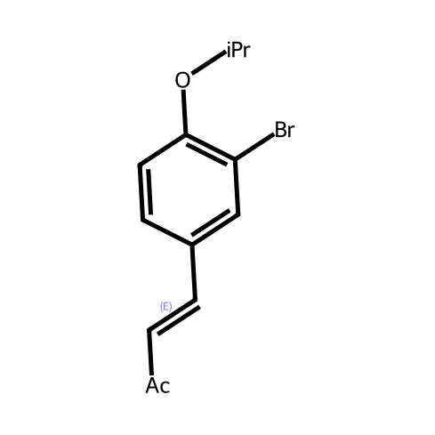 CC(=O)/C=C/c1ccc(OC(C)C)c(Br)c1